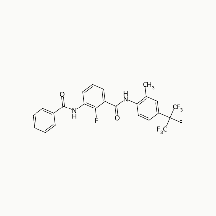 Cc1cc(C(F)(C(F)(F)F)C(F)(F)F)ccc1NC(=O)c1cccc(NC(=O)c2ccccc2)c1F